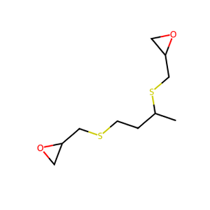 CC(CCSCC1CO1)SCC1CO1